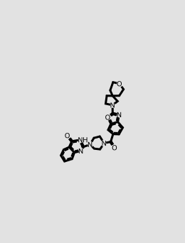 O=C(c1ccc2nc(N3CCC4(CCOCC4)C3)oc2c1)N1CCN(c2nc3ccccc3c(=O)[nH]2)CC1